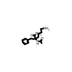 CC(=O)NC(CCCCN)(CCc1ccccc1)C(N)=O